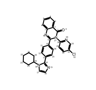 O=c1c2ccccc2nc(-c2ccc(-c3nccn3C3CCCCC3)cc2)n1-c1ccc(Cl)cn1